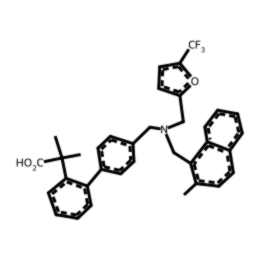 Cc1ccc2ccccc2c1CN(Cc1ccc(-c2ccccc2C(C)(C)C(=O)O)cc1)Cc1ccc(C(F)(F)F)o1